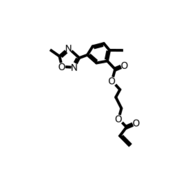 C=CC(=O)OCCCOC(=O)c1cc(-c2noc(C)n2)ccc1C